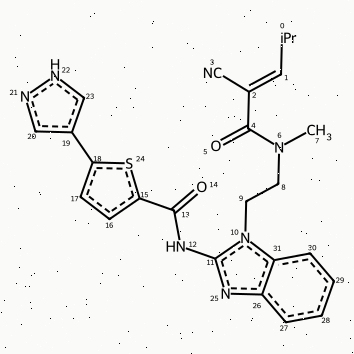 CC(C)C=C(C#N)C(=O)N(C)CCn1c(NC(=O)c2ccc(-c3cn[nH]c3)s2)nc2ccccc21